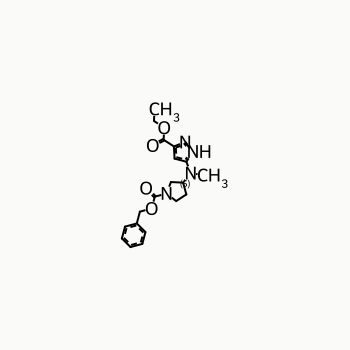 CCOC(=O)c1cc(N(C)[C@H]2CCN(C(=O)OCc3ccccc3)C2)[nH]n1